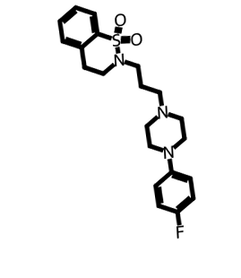 O=S1(=O)c2ccccc2CCN1CCCN1CCN(c2ccc(F)cc2)CC1